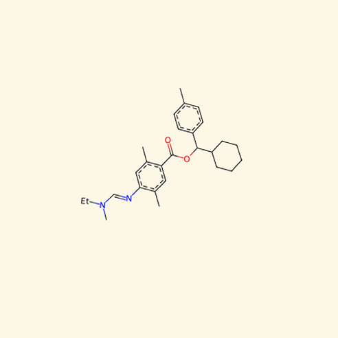 CCN(C)/C=N/c1cc(C)c(C(=O)OC(c2ccc(C)cc2)C2CCCCC2)cc1C